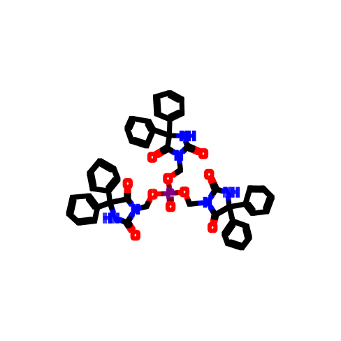 O=C1NC(c2ccccc2)(c2ccccc2)C(=O)N1COP(=O)(OCN1C(=O)NC(c2ccccc2)(c2ccccc2)C1=O)OCN1C(=O)NC(c2ccccc2)(c2ccccc2)C1=O